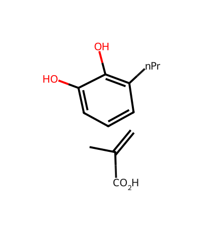 C=C(C)C(=O)O.CCCc1cccc(O)c1O